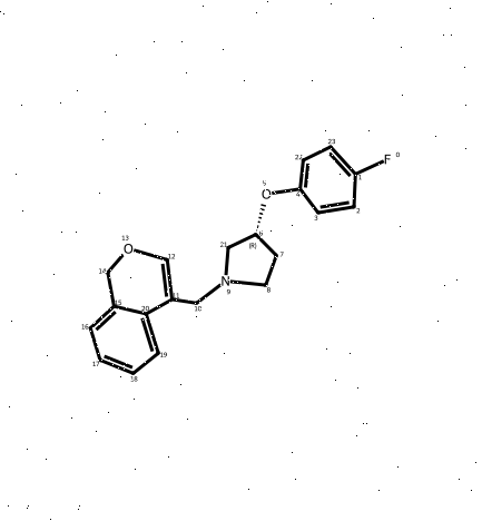 Fc1ccc(O[C@@H]2CCN(CC3=COCc4ccccc43)C2)cc1